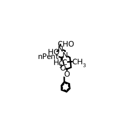 CCCCCC(=O)N(CN(O)C=O)CC(C)(C)CC(=O)OCc1ccccc1